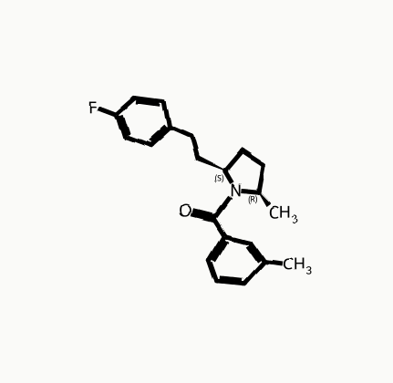 Cc1cccc(C(=O)N2[C@@H](CCc3ccc(F)cc3)CC[C@H]2C)c1